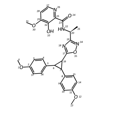 COc1ccc(C2C(c3ccc(OC)cc3)C2c2nc([C@H](C)NC(=O)c3nccc(OC)c3O)no2)cc1